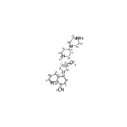 N#Cc1ccc(N2C[C@H](CN3CCC(N4CCNCC4)CC3)[C@@H](C(F)(F)F)C2)c2cccnc12